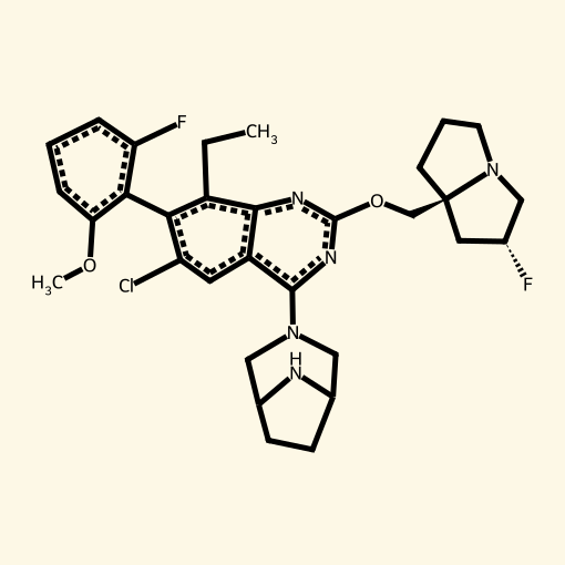 CCc1c(-c2c(F)cccc2OC)c(Cl)cc2c(N3CC4CCC(C3)N4)nc(OC[C@@]34CCCN3C[C@H](F)C4)nc12